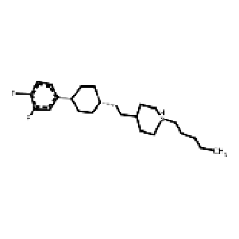 CCCCC[SiH]1CCC(CC[C@H]2CC[C@H](c3ccc(F)c(F)c3)CC2)CC1